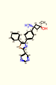 C[C@]1(O)C[C@](N)(c2ccc(-c3nc(-c4cncnc4)sc3-c3ccccc3)cc2)C1